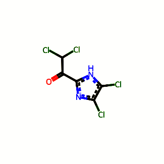 O=C(c1nc(Cl)c(Cl)[nH]1)C(Cl)Cl